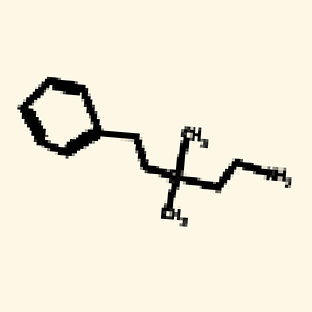 C[Si](C)(CCN)CCc1ccccc1